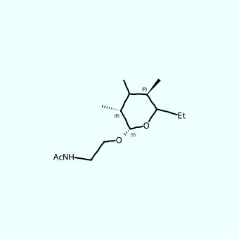 CCC1O[C@H](OCCNC(C)=O)[C@H](C)C(C)[C@H]1C